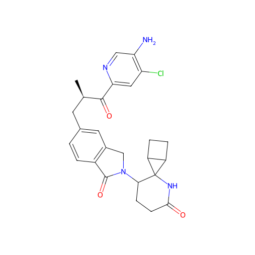 C[C@H](Cc1ccc2c(c1)CN(C1CCC(=O)NC13C1CCC13)C2=O)C(=O)c1cc(Cl)c(N)cn1